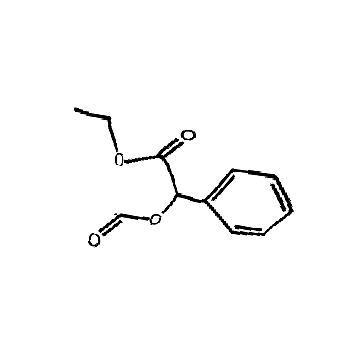 CCOC(=O)C(O[C]=O)c1ccccc1